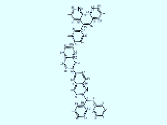 c1ccc2c(c1)cc(-c1ccc3cc(-c4ccc5ccc(-c6ccc(-c7cc8cccnc8c8ncccc78)cc6)nc5c4)ccc3n1)c1ccccc12